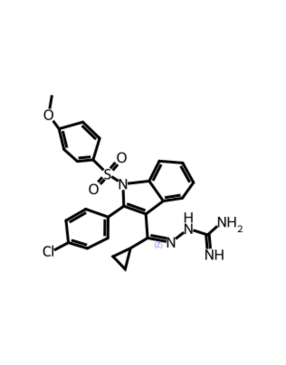 COc1ccc(S(=O)(=O)n2c(-c3ccc(Cl)cc3)c(/C(=N\NC(=N)N)C3CC3)c3ccccc32)cc1